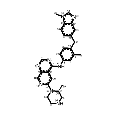 Cc1cc(Nc2ncnc3cnc(N4CCNC[C@@H]4C)cc23)ccc1Cc1ccc2c(c1)ncn2C